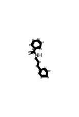 S=C(NCCCc1ccccc1)c1ccccc1